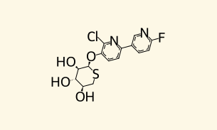 O[C@@H]1[C@@H](O)[C@@H](Oc2ccc(-c3ccc(F)nc3)nc2Cl)SC[C@H]1O